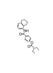 CCC(CC)C(=O)Oc1ccc(C(=O)Nc2cccc3c2CCCC3)cc1